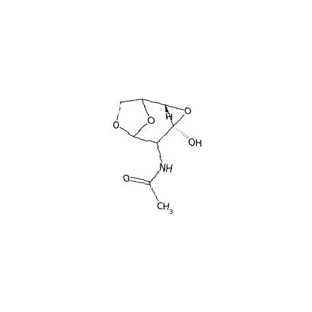 CC(=O)NC1C2OCC(O2)[C@@H]2O[C@@]12O